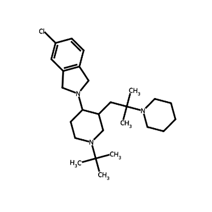 CC(C)(C)N1CCC(N2Cc3ccc(Cl)cc3C2)C(CC(C)(C)N2CCCCC2)C1